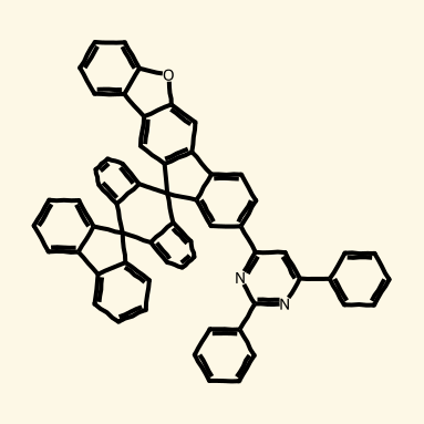 c1ccc(-c2cc(-c3ccc4c(c3)C3(c5cc6c(cc5-4)oc4ccccc46)c4ccccc4C4(c5ccccc5-c5ccccc54)c4ccccc43)nc(-c3ccccc3)n2)cc1